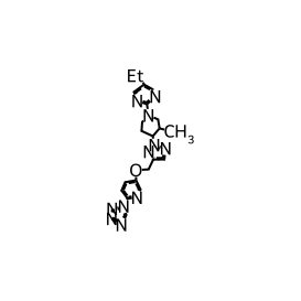 CCc1cnc(N2CCC(n3ncc(COc4ccc(-n5cnnn5)nc4)n3)C(C)C2)nc1